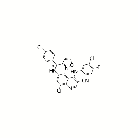 N#Cc1cnc2c(Cl)cc(N[C@@H](c3ccc(Cl)cc3)c3ccon3)cc2c1Nc1ccc(F)c(Cl)c1